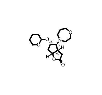 O=C1C[C@H]2[C@H](N3CCCOCC3)[C@@H](OC3CCCCO3)C[C@H]2O1